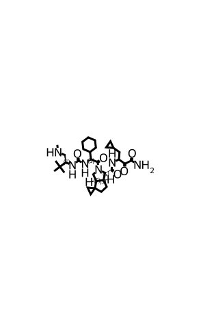 CNC[C@@H](NC(=O)N[C@H](C(=O)N1C[C@H]2[C@H](CCC23CC3)[C@H]1C(=O)NC(CC1CC1)C(=O)C(N)=O)C1CCCCC1)C(C)(C)C